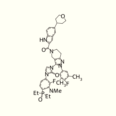 CCP(=O)(CC)c1ccc(-n2ccn(-c3c4c(nn3-c3cc(C)c(F)c(C)c3)CCN(C(=O)c3cc5cc(C6CCOCC6)ccc5[nH]3)C4)c2=O)c(F)c1NC